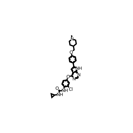 CN1CCC(COc2ccc(-c3cc4c(Oc5ccc(NC(=O)NC6CC6)c(Cl)c5)ncnc4[nH]3)cc2)CC1